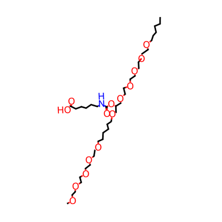 CCCCCCOCCOCCOCCOCCOCC(COCCCCCCOCCOCCOCCOCCOC)OC(=O)NCCCCCC(=O)O